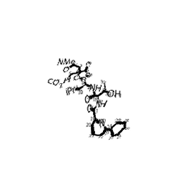 CNC(=O)CC1(CC(=O)O)OB([C@H](CC(C)C)NC(=O)[C@@H](NC(=O)c2cccc(-c3ccccc3)n2)[C@@H](C)O)OC1=O